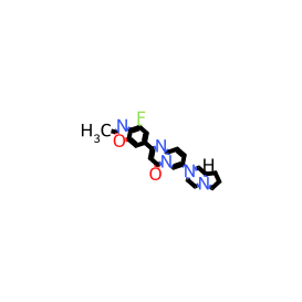 Cc1nc2c(F)cc(-c3cc(=O)n4cc(N5CCN6CCC[C@H]6C5)ccc4n3)cc2o1